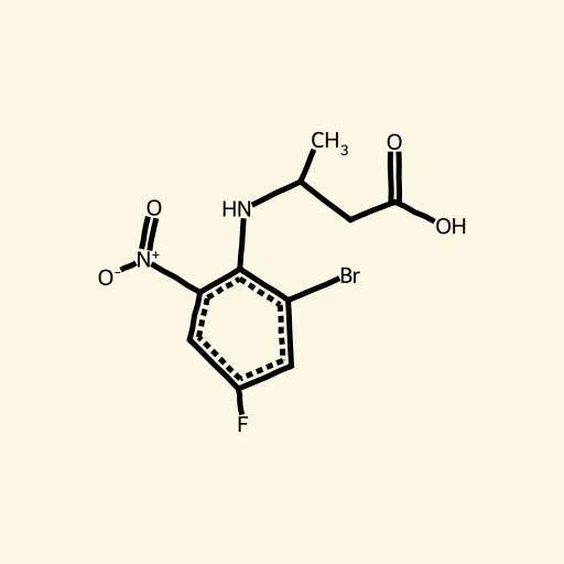 CC(CC(=O)O)Nc1c(Br)cc(F)cc1[N+](=O)[O-]